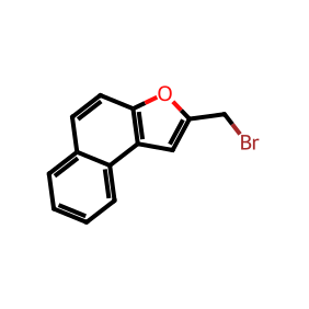 BrCc1cc2c(ccc3ccccc32)o1